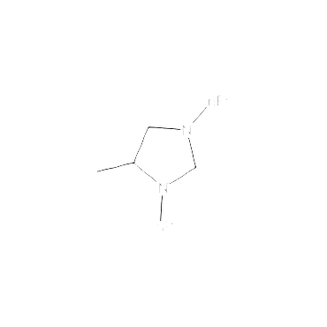 CCCN1CC(C)N(CCC)C1